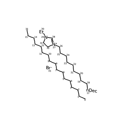 CCCCCCCCCCCCCCCCC.CCCCCCCCCCCCCCCCCCC[N+]1=CN(CC)CC1.[Br-]